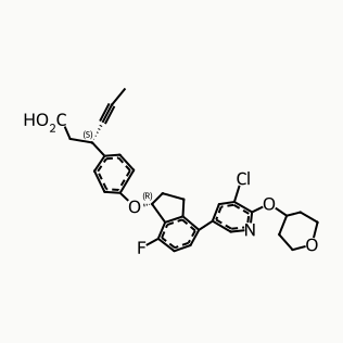 CC#C[C@@H](CC(=O)O)c1ccc(O[C@@H]2CCc3c(-c4cnc(OC5CCOCC5)c(Cl)c4)ccc(F)c32)cc1